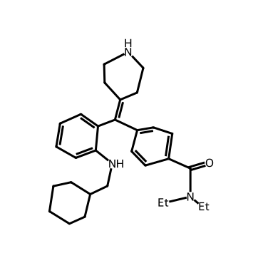 CCN(CC)C(=O)c1ccc(C(=C2CCNCC2)c2ccccc2NCC2CCCCC2)cc1